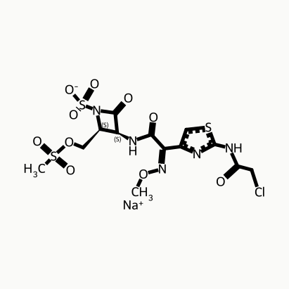 CON=C(C(=O)N[C@@H]1C(=O)N(S(=O)(=O)[O-])[C@@H]1COS(C)(=O)=O)c1csc(NC(=O)CCl)n1.[Na+]